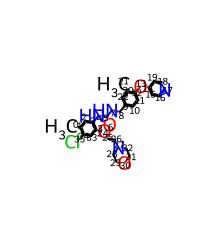 Cc1cc(NC(=O)NCc2ccc(Oc3ccncc3)c(C)c2)c(OCCN2CCOCC2)cc1Cl